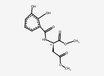 COC(=O)C[C@@H](NC(=O)c1cccc(O)c1O)C(=O)OC